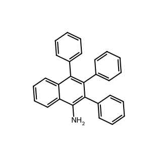 Nc1c(-c2ccccc2)c(-c2ccccc2)c(-c2ccccc2)c2ccccc12